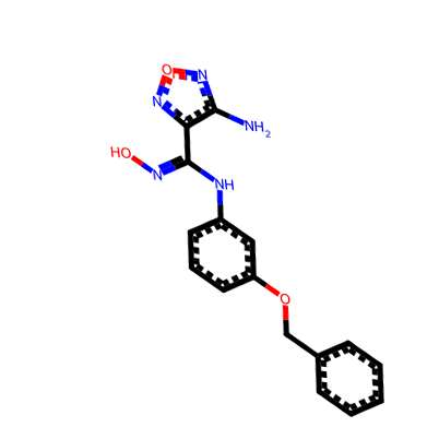 Nc1nonc1/C(=N\O)Nc1cccc(OCc2ccccc2)c1